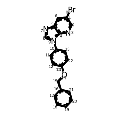 Brc1cnc2c(c1)ncn2-c1ccc(OCc2ccccc2)cc1